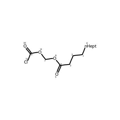 CCCCCCCCCCC(=O)OCOC(=O)Cl